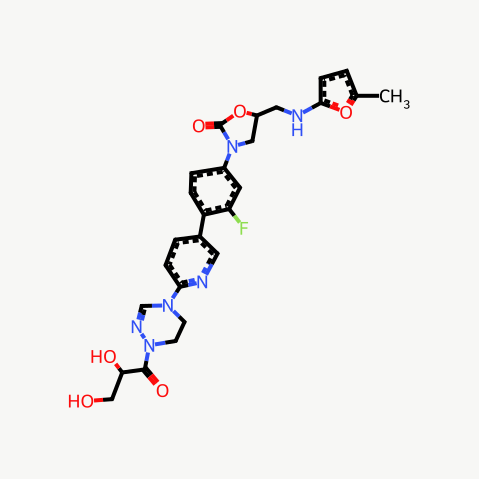 Cc1ccc(NCC2CN(c3ccc(-c4ccc(N5C=NN(C(=O)C(O)CO)CC5)nc4)c(F)c3)C(=O)O2)o1